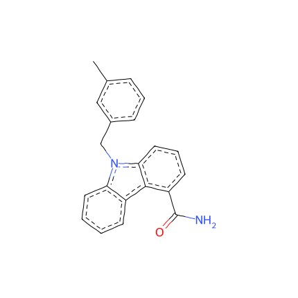 Cc1cccc(Cn2c3ccccc3c3c(C(N)=O)cccc32)c1